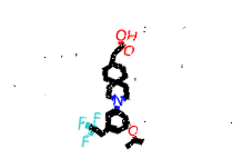 CC(C)Oc1cc(CC(F)(F)F)cc(N2CCC3(CCC(CC(=O)O)CC3)CC2)c1